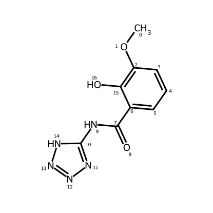 COc1cccc(C(=O)Nc2nnn[nH]2)c1O